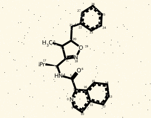 CC1C([C@@H](NC(=O)c2nccc3ccccc23)C(C)C)=NOC1Cc1ccccc1